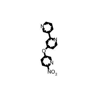 O=[N+]([O-])c1ccc(Oc2ccnc(-c3cccnc3)c2)cn1